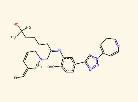 CC/C=C(F)\C=C/CN(C)C/C(CCCCC(C)(O)N=O)=N\c1cc(-c2cn(C3=CCC=NC=C3)nn2)ccc1C=O